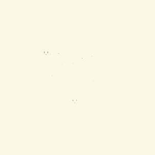 COC(=O)[C@@H]1CC(O)C[C@H](C(=O)OC)C1